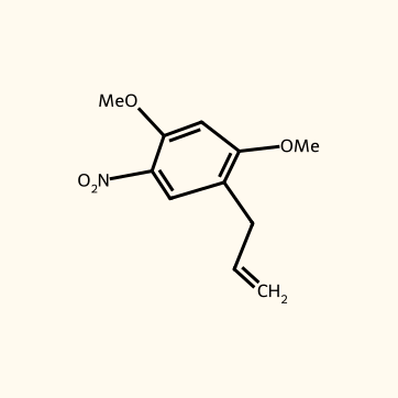 C=CCc1cc([N+](=O)[O-])c(OC)cc1OC